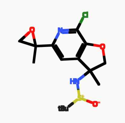 CC1(N[S+]([O-])C(C)(C)C)COc2c1cc(C1(C)CO1)nc2Cl